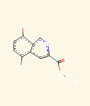 COC(=O)c1cc2c(Br)ccc(O)c2cn1